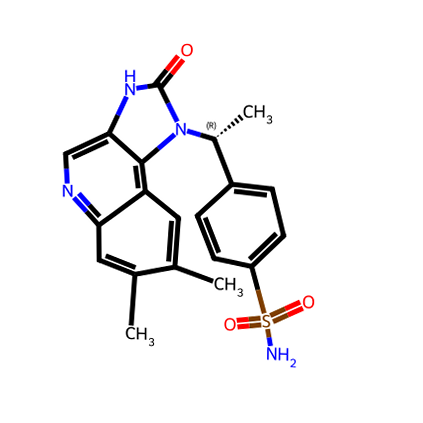 Cc1cc2ncc3[nH]c(=O)n([C@H](C)c4ccc(S(N)(=O)=O)cc4)c3c2cc1C